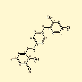 Cc1cc(COc2ccc(Cc3ccc(Cl)cc3Cl)cc2)n(O)c(=O)c1